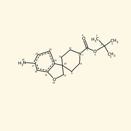 CC(C)(C)OC(=O)N1CCC2(CC1)COc1cc(N)ccc12